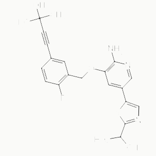 CC(C)c1ncc(-c2cnc(N)c(OCc3cc(C#CC(C)(C)O)ccc3F)c2)s1